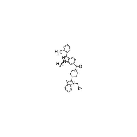 Cc1ccccc1-c1nn(C)c2cc(C(=O)N3CCC(c4nc5ccccc5n4CC4CC4)CC3)ccc12